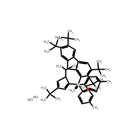 Cl.Cl.[CH2]=[Zr]([C]1=CC(C(C)(C)C)=CC1C(C)C)([c]1ccc(C)cc1)([c]1ccc(C)cc1)[c]1c2c(cc(C(C)(C)C)c1C(C)(C)C)-c1cc(C(C)(C)C)c(C(C)(C)C)cc1C2